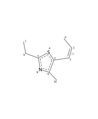 C/C=C\c1sc(CC)nc1C